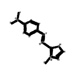 CN(C)c1ccc(/N=N/c2scc[n+]2C)cc1